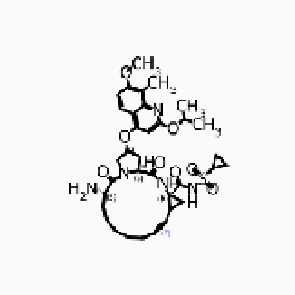 COc1ccc2c(O[C@@H]3C[C@H]4C(=O)N[C@]5(C(=O)NS(=O)(=O)C6CC6)CC5/C=C\CCCCC[C@H](N)C(=O)N4C3)cc(OC(C)C)nc2c1C